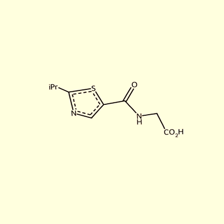 CC(C)c1ncc(C(=O)NCC(=O)O)s1